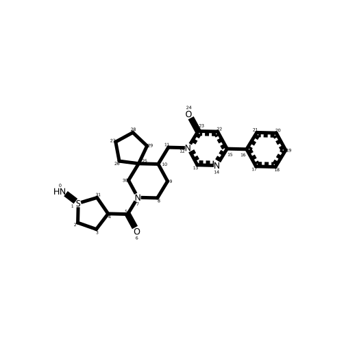 N=S1CCC(C(=O)N2CCC(Cn3cnc(-c4ccccc4)cc3=O)C3(CCCC3)C2)C1